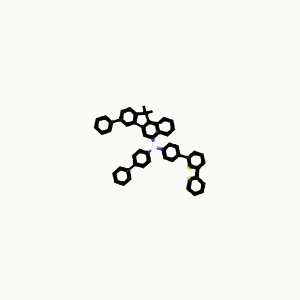 CC1(C)c2ccc(-c3ccccc3)cc2-c2cc(N(c3ccc(-c4ccccc4)cc3)c3ccc(-c4cccc5c4sc4ccccc45)cc3)c3ccccc3c21